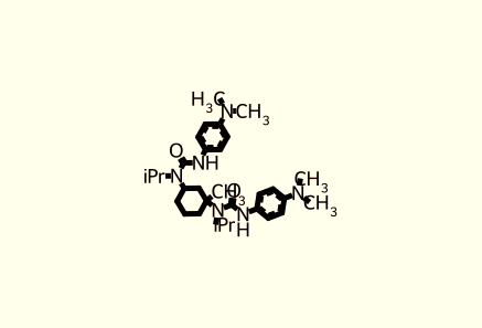 CC(C)N(C(=O)Nc1ccc(N(C)C)cc1)C1CCCC(C)(N(C(=O)Nc2ccc(N(C)C)cc2)C(C)C)C1